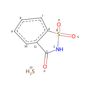 O=C1NS(=O)(=O)c2ccccc21.S